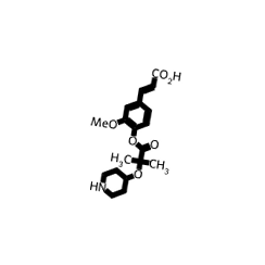 COc1cc(/C=C/C(=O)O)ccc1OC(=O)C(C)(C)OC1CCNCC1